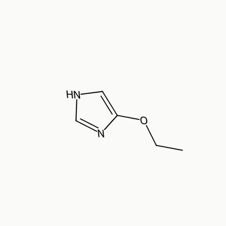 CCOc1c[nH]cn1